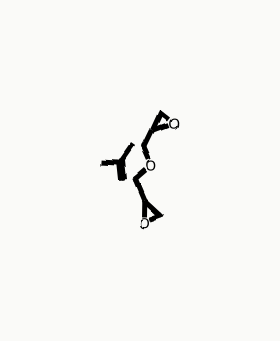 C(OCC1CO1)C1CO1.C=C(C)C